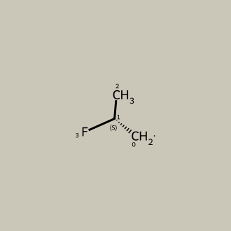 [CH2][C@@H](C)F